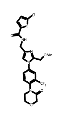 COCc1nc(CNC(=O)c2ccc(Cl)s2)cn1-c1ccc(N2CCOCC2=O)c(C(F)(F)F)c1